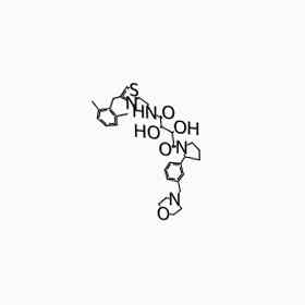 Cc1cccc(C)c1Cc1csc(CNC(=O)[C@H](O)[C@@H](O)C(=O)N2CCCC2c2cccc(CN3CCOCC3)c2)n1